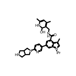 CC1=CC(C)=C(CNC(=O)c2cc(-c3ccc(N4CC5CNCC5C4)nc3)cc3c2c(C)cn3C(C)C)C(O)N1